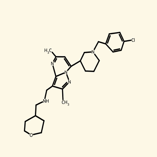 Cc1cc(C2CCCN(Cc3ccc(Cl)cc3)C2)n2nc(C)c(CNCC3CCOCC3)c2n1